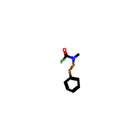 CN(SSc1ccccc1)C(=O)F